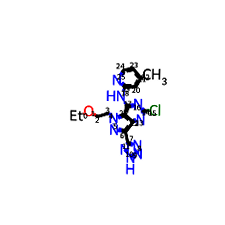 CCOCCn1nc(-c2nn[nH]n2)c2nc(Cl)nc(Nc3cc(C)ccn3)c21